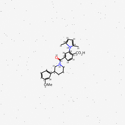 COc1cccc(C2CCCN(C(=O)c3ccc(C(=O)O)c(-n4c(C)ccc4C)c3)C2)c1